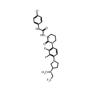 CN(CC(F)(F)F)C1CCN(c2ccc(N3CCC[C@@H](NC(=O)Nc4ccc(Cl)cc4)C3=O)c(F)c2F)C1